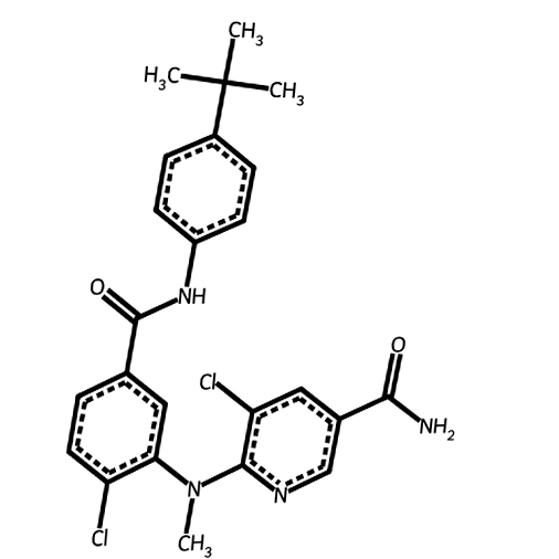 CN(c1cc(C(=O)Nc2ccc(C(C)(C)C)cc2)ccc1Cl)c1ncc(C(N)=O)cc1Cl